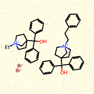 CC[N+]12CCC(C(O)(c3ccccc3)c3ccccc3)(CC1)C2.OC(c1ccccc1)(c1ccccc1)C12CC[N+](CCc3ccccc3)(CC1)C2.[Br-].[Br-]